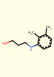 Cc1cccc(NCCCO)c1C